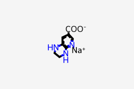 O=C([O-])c1cnc2c(c1)NCCN2.[Na+]